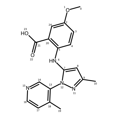 COc1ccc(Nc2cc(C)nn2-c2cnccc2C)c(C(=O)O)c1